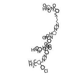 CC1(C)CCC(CN2CCN(c3ccc(C(=O)NS(=O)(=O)c4ccc(NC[C@H]5CC[C@@H](N6CCN(CCCCCSc7cccc8c7CN(C7CCC(=O)NC7=O)C8=O)CC6)CC5)c([N+](=O)[O-])c4)c(Oc4cnc5[nH]ccc5c4)c3)CC2)=C(c2ccc(Cl)cc2)C1